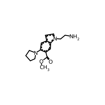 COC(=O)c1cc2c(ccn2CCN)cc1N1CCCC1